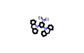 CCN(CC)c1cc(N2c3ccccc3Cc3ccccc32)cc(N2c3ccccc3Cc3ccccc32)c1